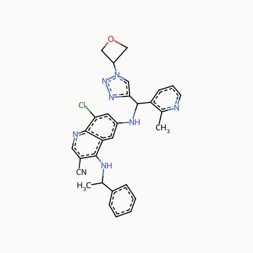 Cc1ncccc1C(Nc1cc(Cl)c2ncc(C#N)c(NC(C)c3ccccc3)c2c1)c1cn(C2COC2)nn1